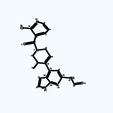 CC1CN(C(=O)c2cccnc2Cl)CC=C1c1cc(NC=O)nc2[nH]ccc12